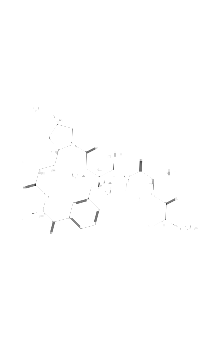 CC[C@H](C)[C@@H]([C@H](CC(=O)N1C[C@H](OC)C[C@@H]1[C@H](OC)[C@@H](C)C(=O)N[C@H](C)C(=O)c1cccc(OC)c1)OC)N(C)C(=O)[C@@H](NC(=O)[C@@H](NC)C(C)C)C(C)C